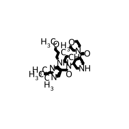 COCCCNc1nc(C(C)(C)C)ncc1C(=O)N(CC(C)C)[C@@H]1CNC[C@H](C(=O)N2CCOCC2)C1